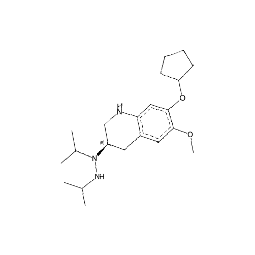 COc1cc2c(cc1OC1CCCC1)NC[C@H](N(NC(C)C)C(C)C)C2